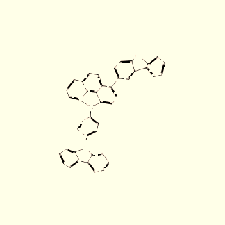 c1ccc2c(c1)oc1ccc(-c3ccc4c5c3ccc3cccc(c35)n4-c3ccc(-n4c5ccccc5c5ccccc54)cc3)cc12